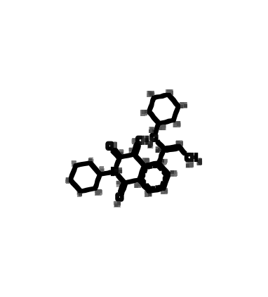 C=C1C(=O)N(C2CCCCC2)C(=O)c2cccc(/C(=C\C)OC3CCCCC3)c21